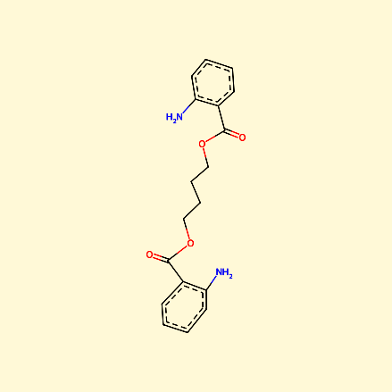 Nc1ccccc1C(=O)OCCCCOC(=O)c1ccccc1N